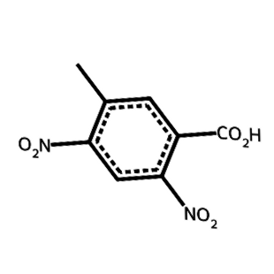 Cc1cc(C(=O)O)c([N+](=O)[O-])cc1[N+](=O)[O-]